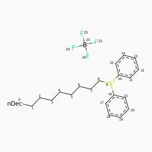 CCCCCCCCCCCCCCCCCC[S+](c1ccccc1)c1ccccc1.F[B-](F)(F)F